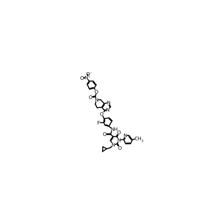 Cc1ccc(-n2c(=O)c(C(=O)Nc3ccc(Oc4ncnc5c4CCN(C(=O)Oc4ccc([N+](=O)[O-])cc4)C5)c(F)c3)cn(CC3CC3)c2=O)nc1